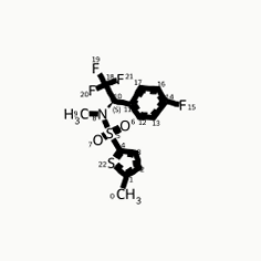 Cc1ccc(S(=O)(=O)N(C)[C@@H](c2ccc(F)cc2)C(F)(F)F)s1